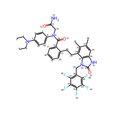 CCN(CC)c1ccc(N(CC(N)=O)C(=O)c2ccccc2CCc2c(C)c(C)cc3[nH]c(=O)n(Cc4c(F)c(F)c(F)c(F)c4F)c23)cc1